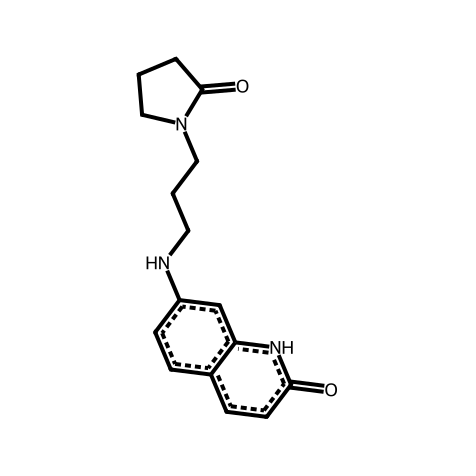 O=C1CCCN1CCCNc1ccc2ccc(=O)[nH]c2c1